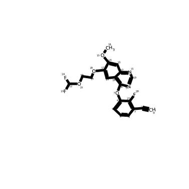 C#Cc1cccc(Oc2ncnc3cc(OC)c(OCCOC(F)F)cc23)c1F